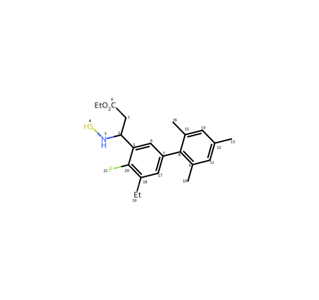 CCOC(=O)CC(NS)c1cc(-c2c(C)cc(C)cc2C)cc(CC)c1F